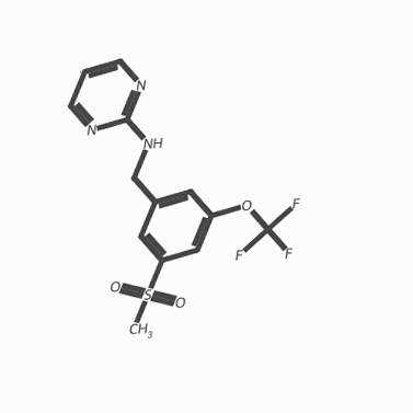 CS(=O)(=O)c1cc(CNc2nc[c]cn2)cc(OC(F)(F)F)c1